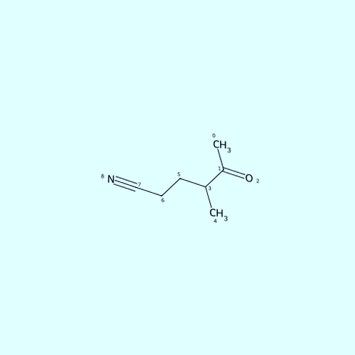 CC(=O)C(C)CCC#N